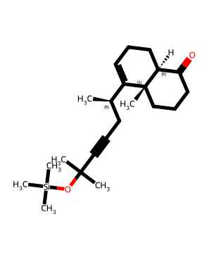 C[C@H](CC#CC(C)(C)O[Si](C)(C)C)C1=CCC[C@H]2C(=O)CCC[C@]12C